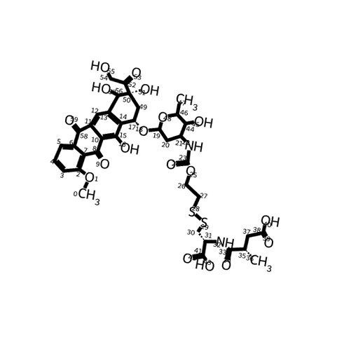 COc1cccc2c1C(=O)c1c(cc3c(c1O)[C@@H](OC1CC(NC(=O)OCCSSC[C@H](NC(=O)[C@@H](C)CC(=O)O)C(=O)O)C(O)C(C)O1)C[C@](O)(C(=O)CO)C3O)C2=O